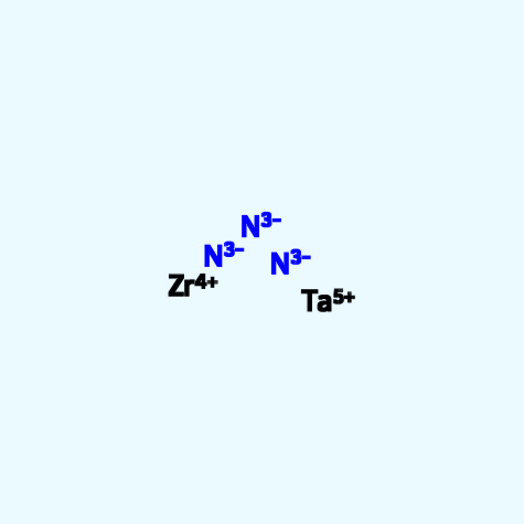 [N-3].[N-3].[N-3].[Ta+5].[Zr+4]